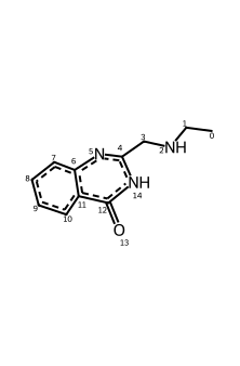 CCNCc1nc2ccccc2c(=O)[nH]1